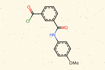 COc1ccc(NC(=O)c2cccc(C(=O)Cl)c2)cc1